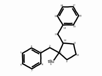 CC(C)(C)C1(Cc2ccccc2)CCC[C]1Cc1ccccc1